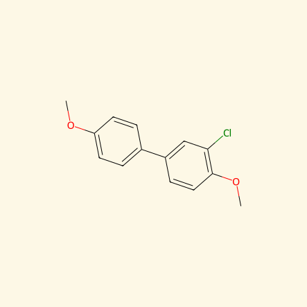 COc1ccc(-c2ccc(OC)c(Cl)c2)cc1